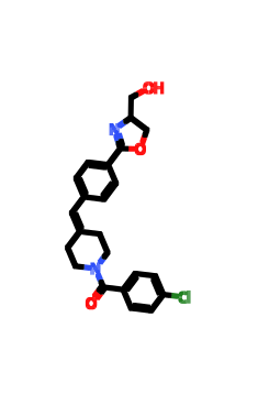 O=C(c1ccc(Cl)cc1)N1CCC(=Cc2ccc(C3=NC(CO)CO3)cc2)CC1